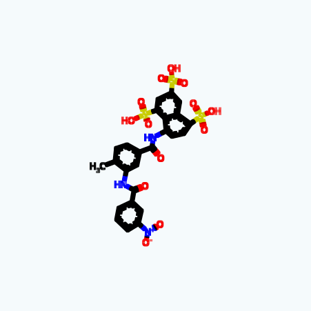 Cc1ccc(C(=O)Nc2ccc(S(=O)(=O)O)c3cc(S(=O)(=O)O)cc(S(=O)(=O)O)c23)cc1NC(=O)c1cccc([N+](=O)[O-])c1